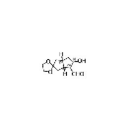 O=C[C@H]1[C@@H]2CC3(C[C@@H]2C[C@H]1O)OCCO3